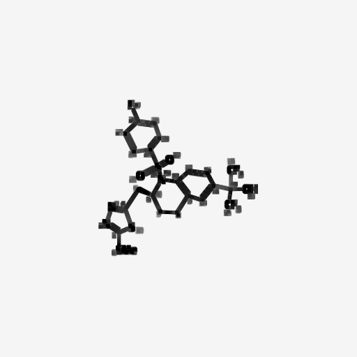 CSc1nnc(C[C@@H]2CCc3cc(C(O)(C(F)(F)F)C(F)(F)F)ccc3N2S(=O)(=O)c2ccc(F)cc2)s1